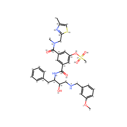 COc1cccc(CNCC(O)C(Cc2ccccc2)NC(=O)c2cc(OS(C)(=O)=O)cc(C(=O)N(C)Cc3nc(C)cs3)c2)c1